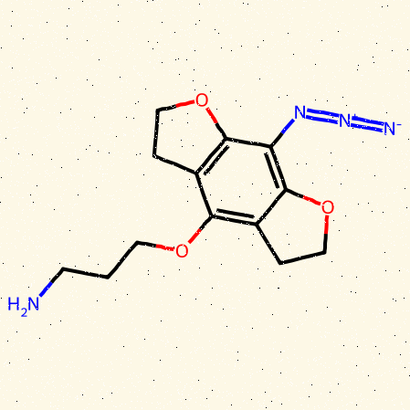 [N-]=[N+]=Nc1c2c(c(OCCCN)c3c1OCC3)CCO2